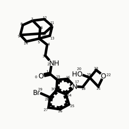 O=C(NCCC12CC3CC(CC(C3)C1)C2)c1cn(CC2(O)COC2)c2cccc(Br)c12